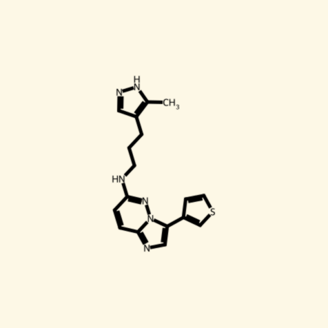 Cc1[nH]ncc1CCCNc1ccc2ncc(-c3ccsc3)n2n1